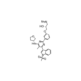 CNC[C@@H](O)COc1cccc(-c2nc(N[C@@H]3CCOC3)c(C)c(-c3cn(S(C)(=O)=O)c4ccccc34)n2)c1